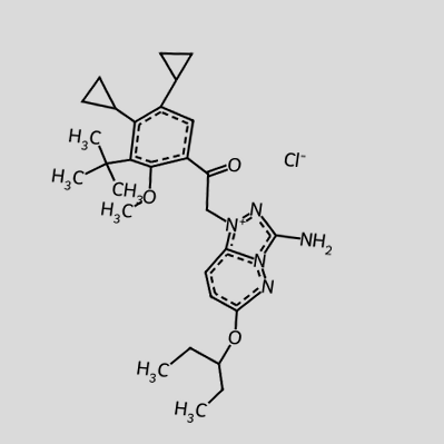 CCC(CC)Oc1ccc2n(n1)c(N)n[n+]2CC(=O)c1cc(C2CC2)c(C2CC2)c(C(C)(C)C)c1OC.[Cl-]